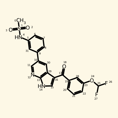 CS(=O)(=O)Nc1cccc(-c2cnc3[nH]cc(C(=O)c4cccc(OC(F)F)c4)c3c2)c1